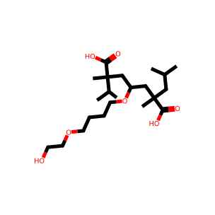 CC(C)CC(C)(CC(CC(C)(C(=O)O)C(C)C)OCCCCOCCO)C(=O)O